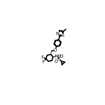 Cc1cnc(-c2ccc(OC[C@@H]3CC(F)(F)CC[C@@H]3NS(=O)(=O)C3CC3)cc2)s1